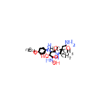 CCCCOc1ccc(NC(C(=O)NC(C)C(C)(C)CC(N)=O)C(O)C(=O)NO)cc1